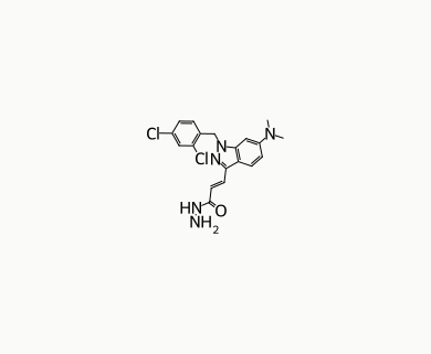 CN(C)c1ccc2c(C=CC(=O)NN)nn(Cc3ccc(Cl)cc3Cl)c2c1